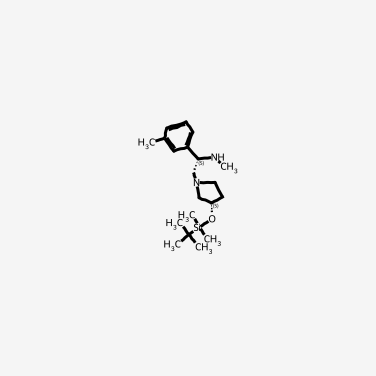 CN[C@H](CN1CC[C@H](O[Si](C)(C)C(C)(C)C)C1)c1cccc(C)c1